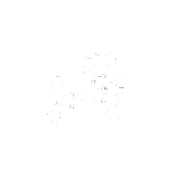 c1ccc(-c2nc(-c3cc(-c4nc(-c5ccccc5)c5oc6ccccc6c5n4)ccc3-n3c4ccccc4c4ccccc43)nc(-c3cccc4oc5ccccc5c34)n2)cc1